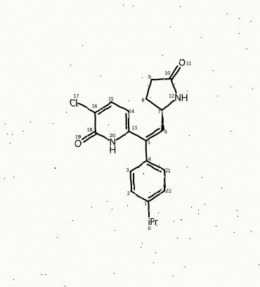 CC(C)c1ccc(C(=C[C@H]2CCC(=O)N2)c2ccc(Cl)c(=O)[nH]2)cc1